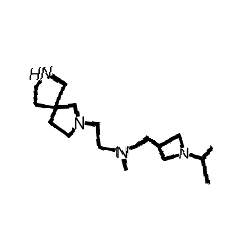 CC(C)N1CC(CN(C)CCN2CCC3(CCNC3)C2)C1